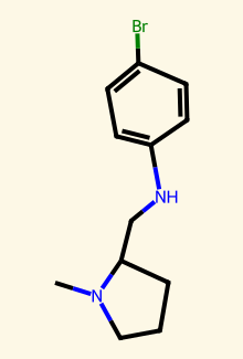 CN1CCCC1CNc1ccc(Br)cc1